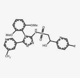 COc1cccc(OC)c1-n1c(NS(=O)(=O)CC(O)c2ccc(F)cn2)nnc1-c1cncc(C)c1